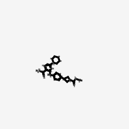 CC(C)(C)OC(=O)N1CC(c2ccc(Nc3nc(N4CCCCC4)cnc3C(N)=O)cc2)C1